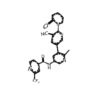 Cc1ncc(NC(=O)c2ccnc(C(F)(F)F)c2)cc1-c1cnc(-n2ccccc2=O)c(C#N)c1